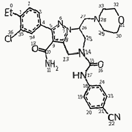 CCc1ccc(-c2nn3c(c2C(N)=O)CN(C(=O)Nc2ccc(C#N)cc2)CC3CN2CCOCC2)cc1Cl